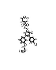 O=C1N(CCS(=O)(=O)N2CCOCC2)C[C@H](c2cccc(OCCO)c2)N1c1ccc(Cl)cc1